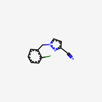 N#Cc1ccn(Cc2ccccc2F)n1